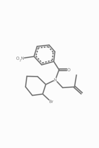 C=C(C)CN(C(=O)c1cccc([N+](=O)[O-])c1)C1CCCCC1Br